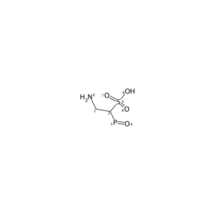 NCC(P=O)S(=O)(=O)O